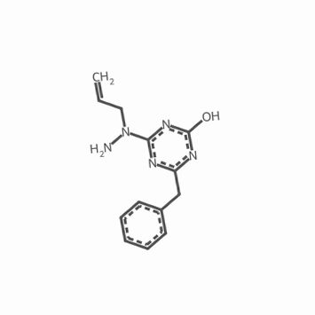 C=CCN(N)c1nc(O)nc(Cc2ccccc2)n1